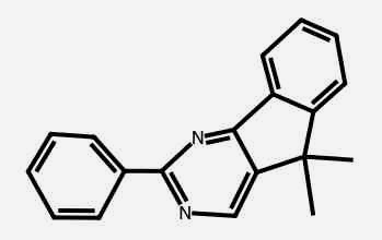 CC1(C)c2ccccc2-c2nc(-c3ccccc3)ncc21